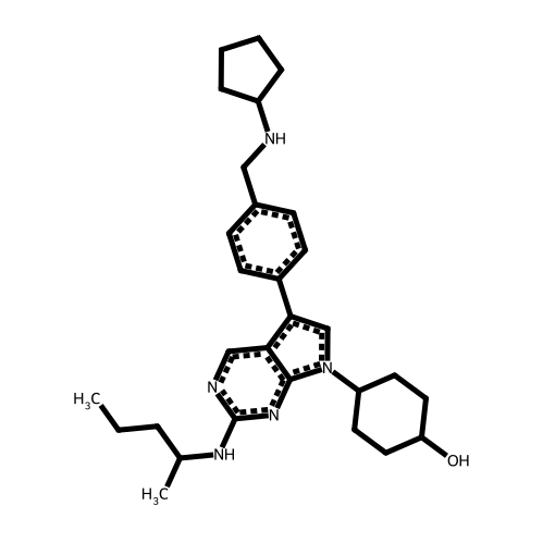 CCCC(C)Nc1ncc2c(-c3ccc(CNC4CCCC4)cc3)cn(C3CCC(O)CC3)c2n1